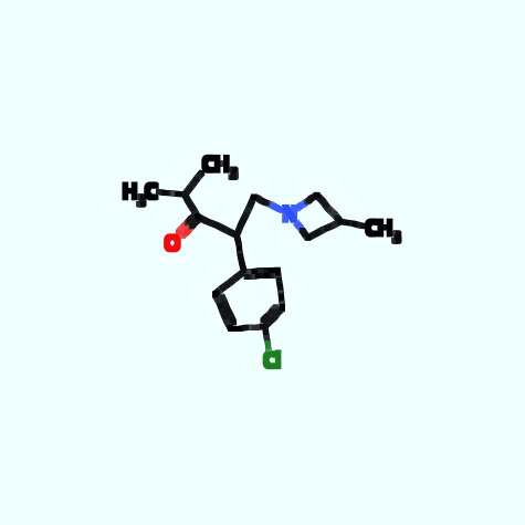 CC1CN(CC(C(=O)C(C)C)c2ccc(Cl)cc2)C1